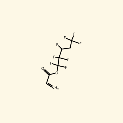 C=CC(=O)OC(F)(F)C(F)(F)C(F)CC(F)(F)F